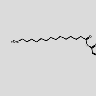 C=CC(=O)OC(=O)CCCCCCCCCCCCCCCCCCCCCCC